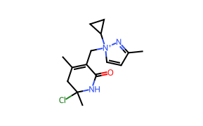 CC1=N[N+](CC2=C(C)CC(C)(Cl)NC2=O)(C2CC2)C=C1